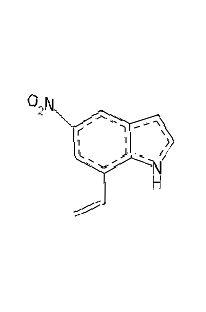 C=Cc1cc([N+](=O)[O-])cc2cc[nH]c12